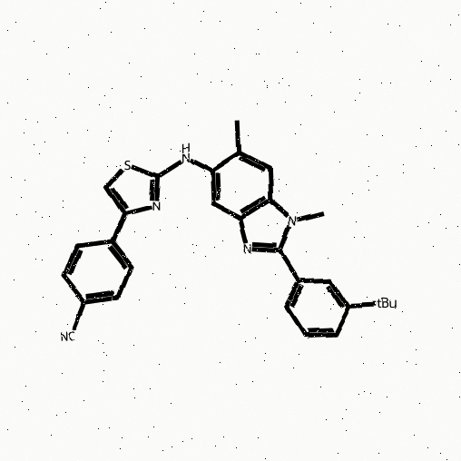 Cc1cc2c(cc1Nc1nc(-c3ccc(C#N)cc3)cs1)nc(-c1cccc(C(C)(C)C)c1)n2C